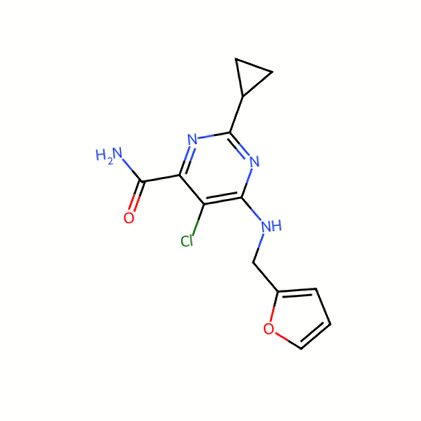 NC(=O)c1nc(C2CC2)nc(NCc2ccco2)c1Cl